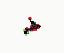 COCCCc1ccc(Cl)c(CN(C(=O)C2=C(c3ccc(OCc4cc(-c5c(F)ccc(F)c5Cl)no4)nc3)CC3CN(C(=O)OC(C)(C)C)CC2N3C(=O)O)C2CC2)c1